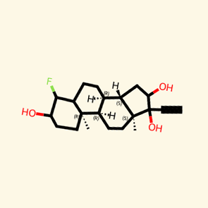 C#CC1(O)C(O)C[C@H]2[C@@H]3CCC4C(F)C(O)CC[C@]4(C)[C@@H]3CC[C@@]21C